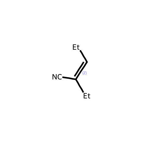 CC/C=C(\C#N)CC